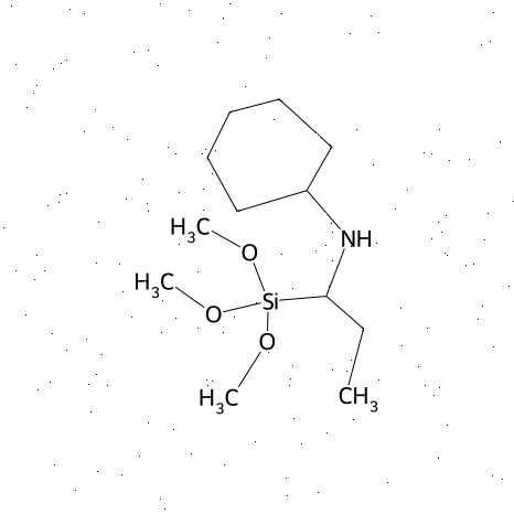 CCC(NC1CCCCC1)[Si](OC)(OC)OC